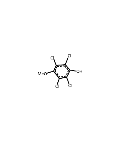 COc1c(Cl)c(Cl)c(O)c(Cl)c1Cl